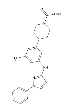 COC(=O)N1CCC(c2cc(C)cc(Nc3ncn(-c4ccccc4)n3)c2)CC1